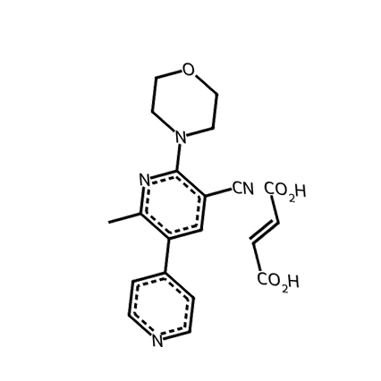 Cc1nc(N2CCOCC2)c(C#N)cc1-c1ccncc1.O=C(O)/C=C/C(=O)O